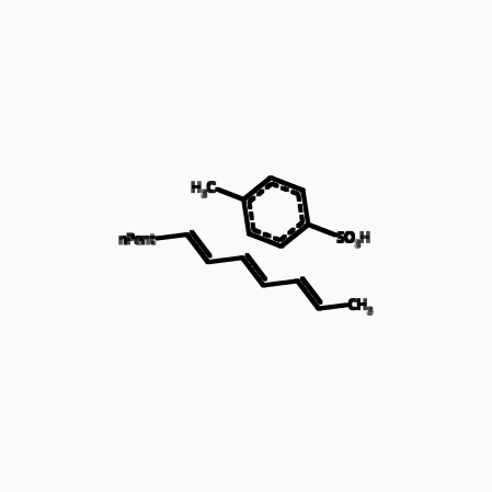 CC=CC=CC=CCCCCC.Cc1ccc(S(=O)(=O)O)cc1